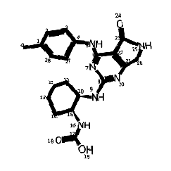 Cc1ccc(Nc2nc(N[C@@H]3CCCC[C@@H]3NC(=O)O)nc3c2C(=O)NC3)cc1